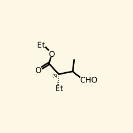 CCOC(=O)[C@@H](CC)C(C)C=O